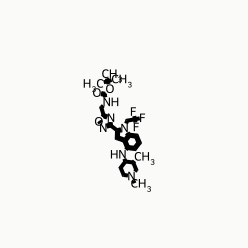 CC1CN(C)CCC1Nc1cccc2c1cc(-c1noc(CNC(=O)OC(C)(C)C)n1)n2CC(F)(F)F